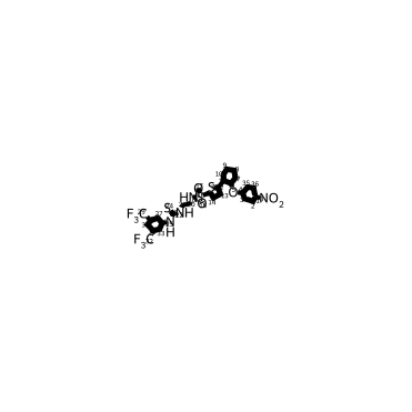 O=[N+]([O-])c1ccc(Oc2ccccc2-c2ccc(S(=O)(=O)NCCNC(=S)Nc3cc(C(F)(F)F)cc(C(F)(F)F)c3)s2)cc1